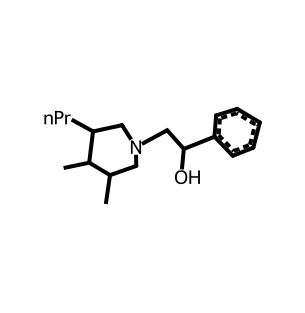 CCCC1CN(CC(O)c2ccccc2)CC(C)C1C